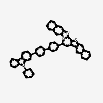 c1ccc(-n2c3ccccc3c3ccc(-c4ccc(-c5ccc(-c6cc7c8cc9ccccc9cc8sc7c7nc8cc9ccccc9cc8n67)cc5)cc4)cc32)cc1